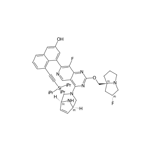 CC(C)[Si](C#Cc1cccc2cc(O)cc(-c3ncc4c(N5C[C@H]6C=C[C@@H](C5)N6)nc(OC[C@@]56CCCN5C[C@H](F)C6)nc4c3F)c12)(C(C)C)C(C)C